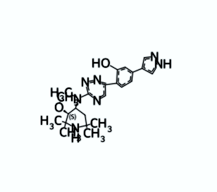 CO[C@H]1C(N(C)c2ncc(-c3ccc(-c4cn[nH]c4)cc3O)nn2)CC(C)(C)NC1(C)C